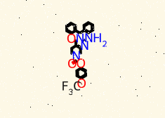 Nc1nc2c(c(=O)n1C(c1ccccc1)c1ccccc1)CCN(C(=O)Oc1ccc(OC(F)(F)F)cc1)C2